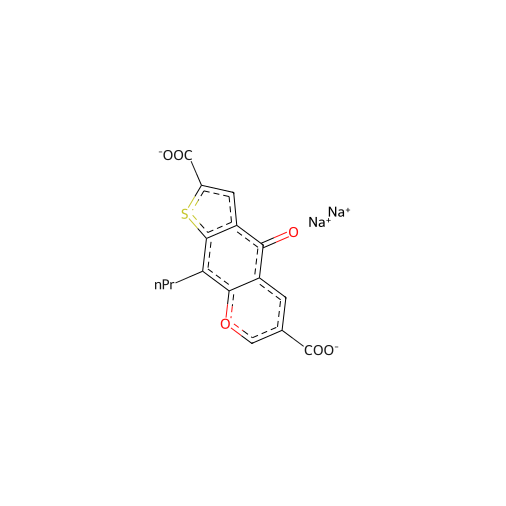 CCCc1c2occ(C(=O)[O-])cc-2c(=O)c2cc(C(=O)[O-])sc12.[Na+].[Na+]